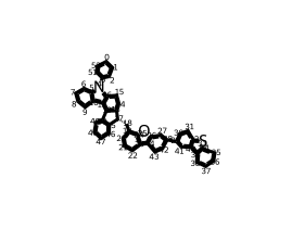 c1ccc(-n2c3ccccc3c3c4c(ccc32)[C@H](Cc2cccc3c2oc2cc(-c5ccc6sc7ccccc7c6c5)ccc23)c2ccccc2-4)cc1